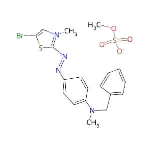 CN(Cc1ccccc1)c1ccc(N=Nc2sc(Br)c[n+]2C)cc1.COS(=O)(=O)[O-]